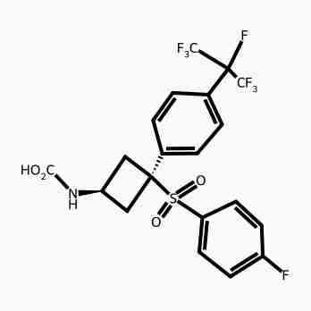 O=C(O)N[C@H]1C[C@@](c2ccc(C(F)(C(F)(F)F)C(F)(F)F)cc2)(S(=O)(=O)c2ccc(F)cc2)C1